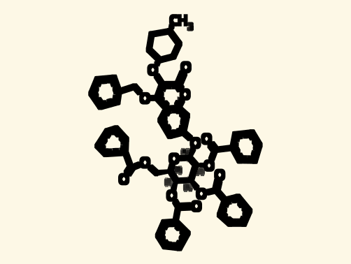 C[C@H]1CC[C@@H](Oc2c(OCc3ccccc3)c3ccc(O[C@@H]4O[C@H](COC(=O)c5ccccc5)[C@H](OC(=O)c5ccccc5)[C@H](OC(=O)c5ccccc5)[C@H]4OC(=O)c4ccccc4)cc3oc2=O)CC1